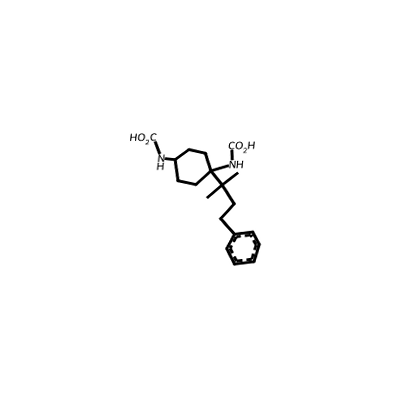 CC(C)(CCc1ccccc1)C1(NC(=O)O)CCC(NC(=O)O)CC1